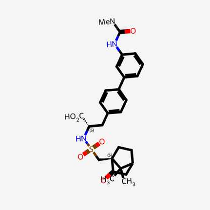 CNC(=O)Nc1cccc(-c2ccc(C[C@H](NS(=O)(=O)C[C@]34CCC(CC3=O)C4(C)C)C(=O)O)cc2)c1